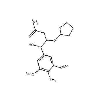 COc1cc(C(O)C(CC(N)=S)OC2CCCC2)cc(OC)c1C